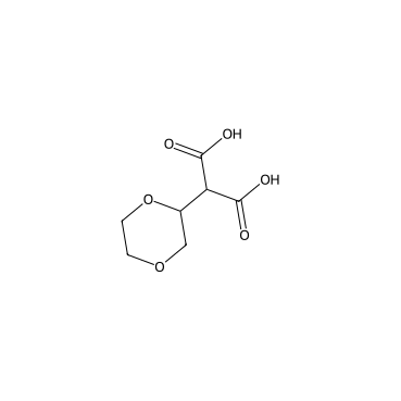 O=C(O)C(C(=O)O)C1COCCO1